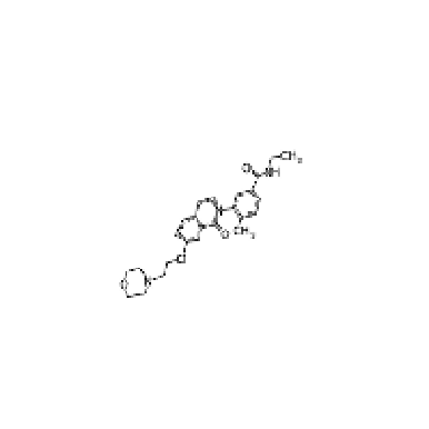 CCNC(=O)c1ccc(C)c(-n2ccc3ccc(OCCN4CCOCC4)cc3c2=O)c1